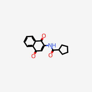 O=C1C=C(NC(=O)C2CCCC2)C(=O)c2ccccc21